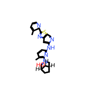 Cc1cccnc1-c1nc2cc(Nc3ccc(C)c(N4C[C@H]5CC[C@@H](C4)[C@@H]5O)n3)ncc2s1